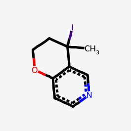 CC1(I)CCOc2ccncc21